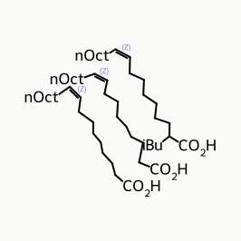 CCCCCCCC/C=C\CCCCCCC(C(=O)O)C(C)CC.CCCCCCCC/C=C\CCCCCCCC(=O)O.CCCCCCCC/C=C\CCCCCCCC(=O)O